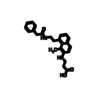 Cc1c(NCCC(=O)O)ccc2cccc(CCNC(=O)Cc3ccccc3)c12